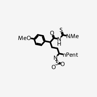 CCCCCC(CCC(C(=O)NC(=S)NC)c1ccc(OC)cc1)N=S(=O)=O